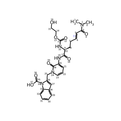 CN(C)C(=O)/C=C/CC[C@H](NC(=O)OCCO)C(=O)Nc1cccn(Cc2cc3ccccc3n2C(=O)O)c1=O